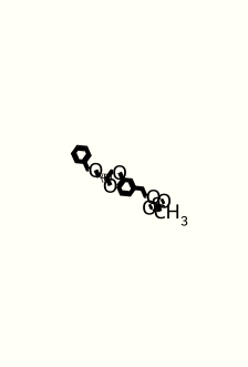 CS(=O)(=O)OCCc1ccc2c(c1)OC[C@@H](COCc1ccccc1)O2